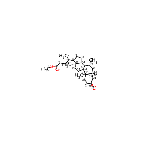 COC(=O)CC[C@@H](C)[C@H]1CCC2C3C(CC[C@@]21C)[C@@]1(C)CCC(=O)C[C@H]1C[C@H]3C